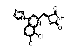 O=C1NC(=O)C(=Cc2cc(-n3ccnc3)c3ccc(Cl)c(Cl)c3n2)S1